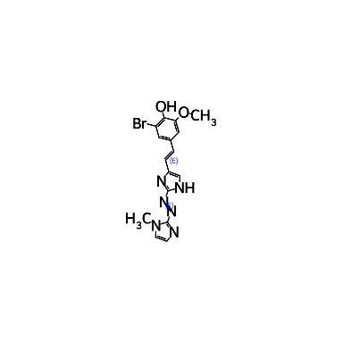 COc1cc(/C=C/c2c[nH]c(/N=N/c3nccn3C)n2)cc(Br)c1O